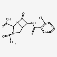 CC(=O)N1CC2[C@H](NC(=O)c3ccccc3Cl)C(=O)N2C1C(=O)O